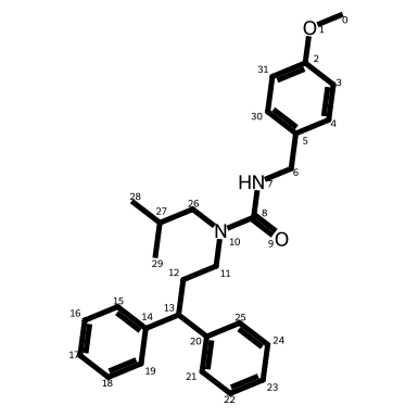 COc1ccc(CNC(=O)N(CCC(c2ccccc2)c2ccccc2)CC(C)C)cc1